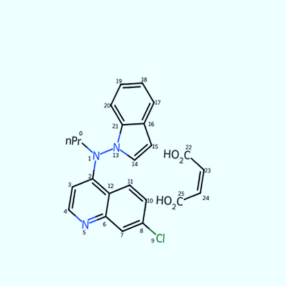 CCCN(c1ccnc2cc(Cl)ccc12)n1ccc2ccccc21.O=C(O)/C=C\C(=O)O